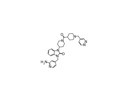 Nc1cc(Cn2c(=O)n(C3CCN(C(=O)C4CCN(Cc5ccnnc5)CC4)CC3)c3ccccc32)ccn1